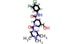 C[C@@H]1CN(C(=O)N2C[C@H](CO)C[C@H](C(=O)Nc3ccc(Cl)c(F)c3)C2)C[C@H](C)N1C